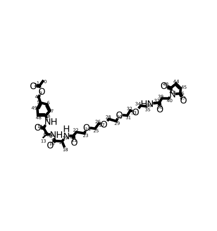 CC(=O)OCc1ccc(NC(=O)[C@H](C)NC(=O)C(C)NC(=O)CCOCCOCCOCCOCCNC(=O)CCN2C(=O)C=CC2=O)cc1